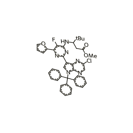 COC(=O)CC(Nc1nc(-c2cn(C(c3ccccc3)(c3ccccc3)c3ccccc3)c3ncc(Cl)nc23)nc(-c2ccco2)c1F)C(C)(C)C